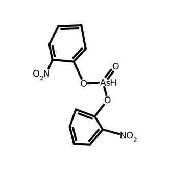 O=[N+]([O-])c1ccccc1O[AsH](=O)Oc1ccccc1[N+](=O)[O-]